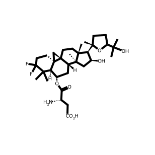 CC(C)(O)C1CC[C@@](C)([C@H]2[C@@H](O)C[C@@]3(C)[C@@H]4C[C@H](OC(=O)[C@@H](N)CC(=O)O)[C@H]5C(C)(C)C(F)(F)CC[C@@]56C[C@@]46CC[C@]23C)O1